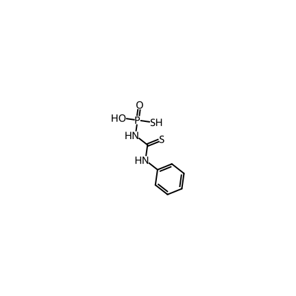 O=P(O)(S)NC(=S)Nc1ccccc1